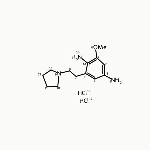 COc1cc(N)cc(CCN2CCCC2)c1N.Cl.Cl